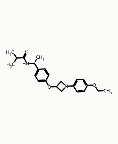 CCOc1ccc(N2CC(Oc3ccc([C@H](C)NC(=O)C(C)C)cc3)C2)cc1